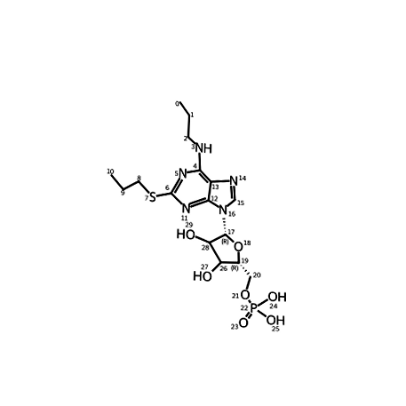 CCCNc1nc(SCCC)nc2c1ncn2[C@@H]1O[C@H](COP(=O)(O)O)C(O)C1O